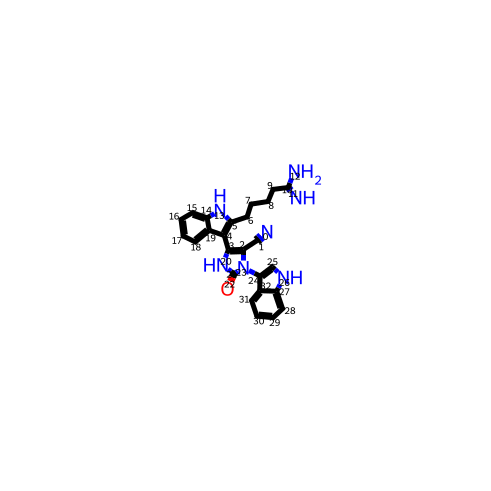 N#Cc1c(-c2c(CCCCC(=N)N)[nH]c3ccccc23)[nH]c(=O)n1-c1c[nH]c2ccccc12